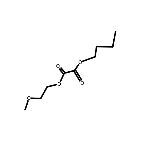 CCCCOC(=O)C(=O)OCCOC